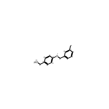 Cc1cccc(COc2ccc(CO)cc2)c1